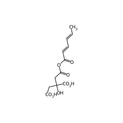 C/C=C/C=C/C(=O)OC(=O)CC(O)(CC(=O)O)C(=O)O